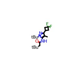 Cc1c(C2CC(F)(F)C2)nn(C(C)(C)C)c1NC(=O)CC(C)(C)C